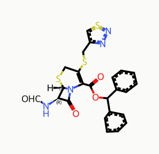 O=CN[C@@H]1C(=O)N2C(C(=O)OC(c3ccccc3)c3ccccc3)=C(SCc3csnn3)CS[C@@H]12